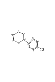 Clc1ccc(N2CCOCC2)cc1